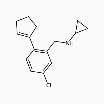 Clc1ccc(C2=CCCC2)c(CNC2CC2)c1